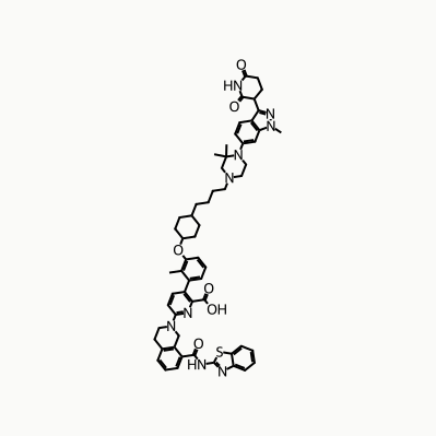 Cc1c(OC2CCC(CCCCN3CCN(c4ccc5c(C6CCC(=O)NC6=O)nn(C)c5c4)C(C)(C)C3)CC2)cccc1-c1ccc(N2CCc3cccc(C(=O)Nc4nc5ccccc5s4)c3C2)nc1C(=O)O